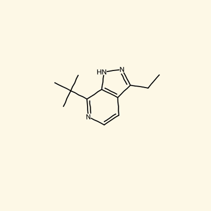 CCc1n[nH]c2c(C(C)(C)C)nccc12